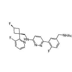 CC(=O)NCc1ccc(F)c(-c2ccc(NC[C@]3(c4ncccc4F)C[C@H](F)C3)nn2)c1